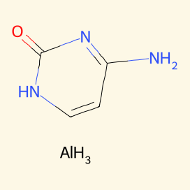 Nc1cc[nH]c(=O)n1.[AlH3]